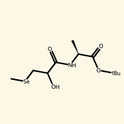 C[Se]CC(O)C(=O)N[C@@H](C)C(=O)OC(C)(C)C